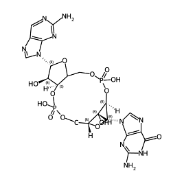 Nc1ncc2ncn([C@@H]3OC4COP(=O)(O)O[C@@H]5[C@H](O)[C@@H](COP(=O)(O)O[C@H]4[C@H]3O)O[C@H]5n3cnc4c(=O)[nH]c(N)nc43)c2n1